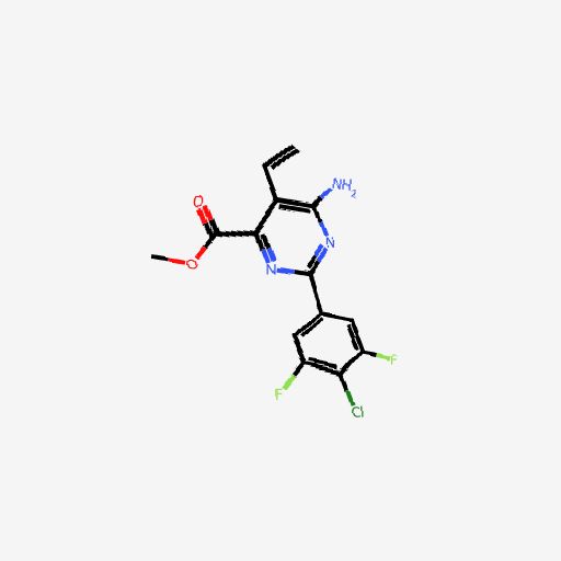 C=Cc1c(N)nc(-c2cc(F)c(Cl)c(F)c2)nc1C(=O)OC